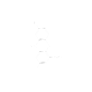 CCCCc1cc(F)ccc1Sc1ccc(F)cc1CCCC